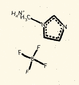 Cn1ccnc1.F[B-](F)(F)F.[NH4+]